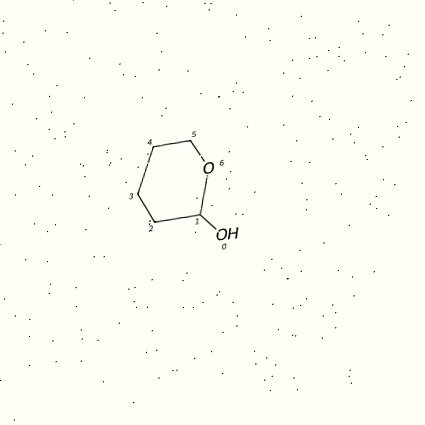 OC1[C]CCCO1